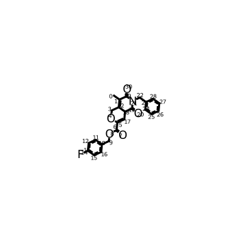 CC1=C2COC(C(=O)OCc3ccc(F)cc3)=CC2C(=O)N(Cc2ccccc2)C1=O